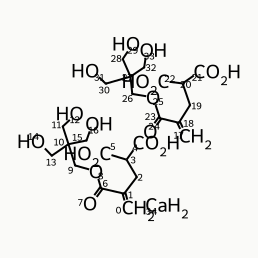 C=C(CC(C(=O)O)C(=O)O)C(=O)OCC(CO)(CO)CO.C=C(CC(C(=O)O)C(=O)O)C(=O)OCC(CO)(CO)CO.[CaH2]